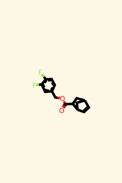 O=C(OCc1ccc(F)c(F)c1)C1CC2C=CC1C2